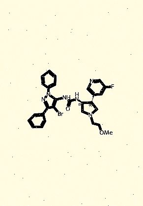 COCCN1C[C@@H](NC(=O)Nc2c(Br)c(-c3ccccc3)nn2-c2ccccc2)[C@H](c2cncc(F)c2)C1